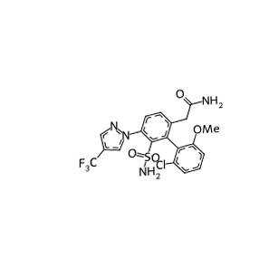 COc1cccc(Cl)c1-c1c(CC(N)=O)ccc(-n2cc(C(F)(F)F)cn2)c1S(N)(=O)=O